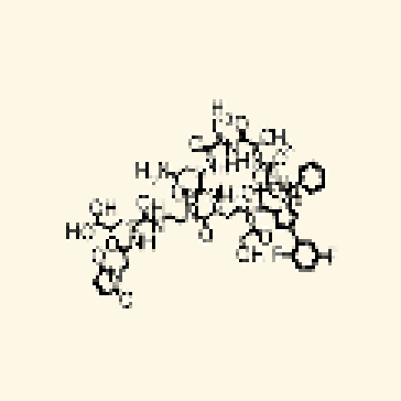 CC(=O)N[C@@H](C)C(=O)N[C@H](C)C(=O)N[C@@H](CC(N)=O)C(=O)N[C@@H](CCN(C(=O)CO)[C@@H](c1cc(-c2cc(F)ccc2F)cn1Cc1ccccc1)C(C)(C)C)C(=O)NCCNC(=O)[C@@H](CCC(O)O)NC(=O)CN1C(=O)C=CC1=O